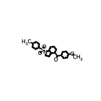 COc1ccc(C(=O)c2cccc3c2ccn3S(=O)(=O)c2ccc(C)cc2)cc1